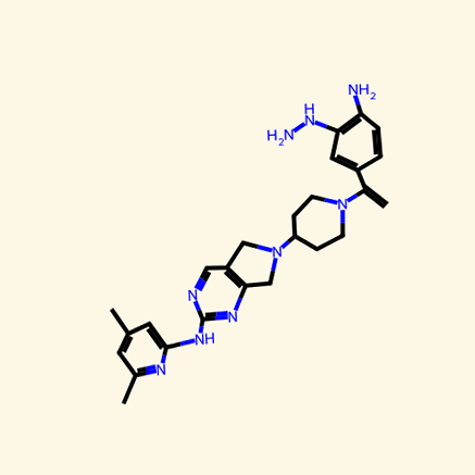 C=C(c1ccc(N)c(NN)c1)N1CCC(N2Cc3cnc(Nc4cc(C)cc(C)n4)nc3C2)CC1